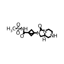 CS(=O)(=O)NC(=O)C12CC(N3C[C@@H]4CNCCN4C3=O)(C1)C2